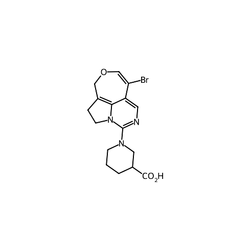 O=C(O)C1CCCN(C2=NC=C3C(Br)=COCC4=C3N2CC4)C1